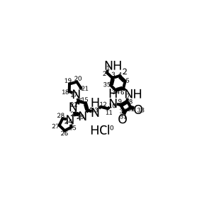 Cl.NCc1ccc(Nc2c(NCCNc3cc(N4CCCC4)nc(N4CCCC4)n3)c(=O)c2=O)cc1